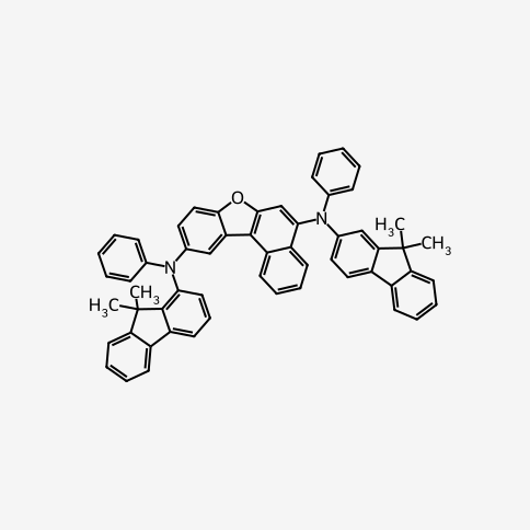 CC1(C)c2ccccc2-c2ccc(N(c3ccccc3)c3cc4oc5ccc(N(c6ccccc6)c6cccc7c6C(C)(C)c6ccccc6-7)cc5c4c4ccccc34)cc21